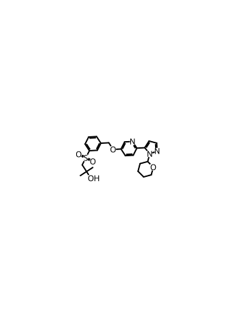 CC(C)(O)CS(=O)(=O)c1cccc(COc2ccc(-c3ccnn3C3CCCCO3)nc2)c1